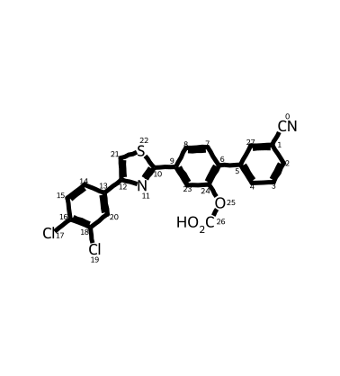 N#Cc1cccc(-c2ccc(-c3nc(-c4ccc(Cl)c(Cl)c4)cs3)cc2OC(=O)O)c1